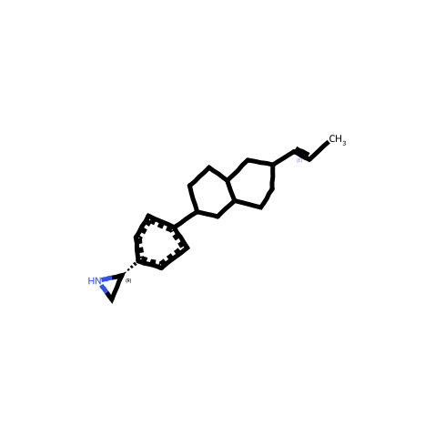 C/C=C/C1CCC2CC(c3ccc([C@@H]4CN4)cc3)CCC2C1